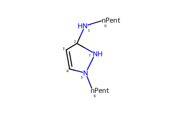 CCCCCNC1C=CN(CCCCC)N1